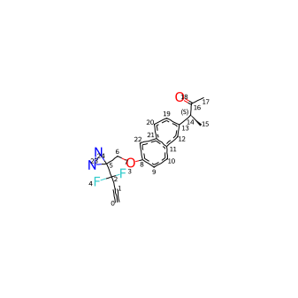 C#CC(F)(F)C1(COc2ccc3cc([C@H](C)C(C)=O)ccc3c2)N=N1